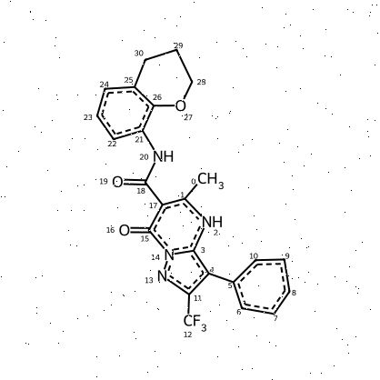 Cc1[nH]c2c(-c3ccccc3)c(C(F)(F)F)nn2c(=O)c1C(=O)Nc1cccc2c1OCCC2